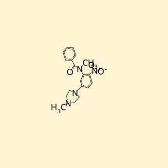 CN1CCN(c2ccc([N+](=O)[O-])c(N(C)C(=O)c3ccccc3)c2)CC1